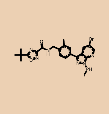 Cc1cc(-c2nn(PI)c3ncc(Br)cc23)ccc1CNC(=O)c1noc(C(C)(C)C)n1